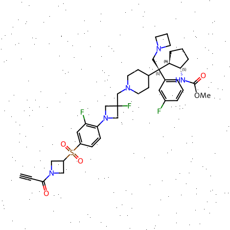 C#CC(=O)N1CC(S(=O)(=O)c2ccc(N3CC(F)(CN4CCC([C@@](CN5CCC5)(c5cccc(F)c5)[C@H]5CCC[C@@H]5NC(=O)OC)CC4)C3)c(F)c2)C1